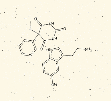 CCC1(c2ccccc2)C(=O)NC(=O)NC1=O.NCCc1c[nH]c2ccc(O)cc12